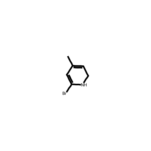 CC1=CCNC(Br)=C1